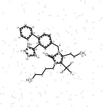 CCCCCn1c(C(F)(F)F)c(CCC)n(Cc2ccc(-c3ccccc3)c(-c3nnn[nH]3)c2)c1=O